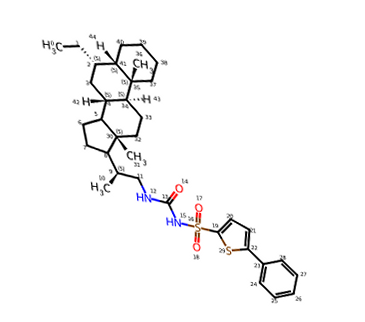 CC[C@H]1C[C@H]2C3CCC([C@H](C)CNC(=O)NS(=O)(=O)c4ccc(-c5ccccc5)s4)[C@@]3(C)CC[C@@H]2[C@@]2(C)CCCC[C@@H]12